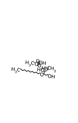 CCCCCCCCCCCCOC(CCO)C(O)CNC.CCOS(=O)(=O)O